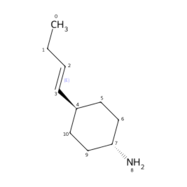 CC/C=C/[C@H]1CC[C@H](N)CC1